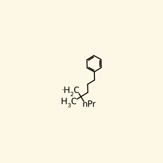 [CH2]C(C)(CCC)CCCc1ccccc1